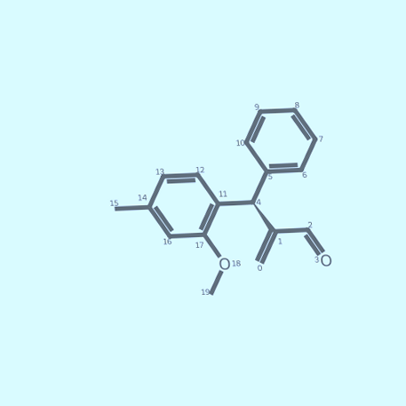 C=C(C=O)[C@H](c1ccccc1)c1ccc(C)cc1OC